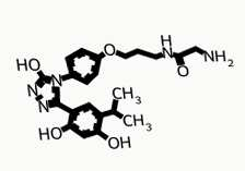 CC(C)c1cc(-c2nnc(O)n2-c2ccc(OCCCNC(=O)CN)cc2)c(O)cc1O